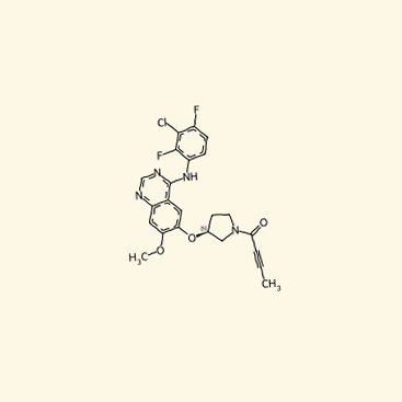 CC#CC(=O)N1CC[C@H](Oc2cc3c(Nc4ccc(F)c(Cl)c4F)ncnc3cc2OC)C1